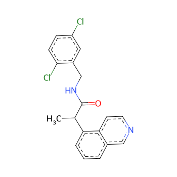 CC(C(=O)NCc1cc(Cl)ccc1Cl)c1cccc2cnccc12